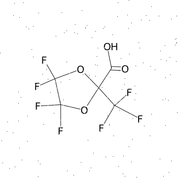 O=C(O)C1(C(F)(F)F)OC(F)(F)C(F)(F)O1